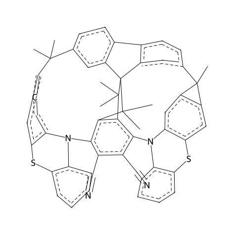 CC1(C)c2ccc3c(c2)Sc2ccccc2N3c2c(C#N)c(C#N)c3c4c2C(C)(C)C2(c5cc1ccc5-c1ccc(cc12)C1(C)c2cc5c(cc21)N3c1ccccc1S5)C4(C)C